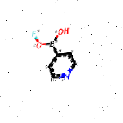 OB(OF)c1ccncc1